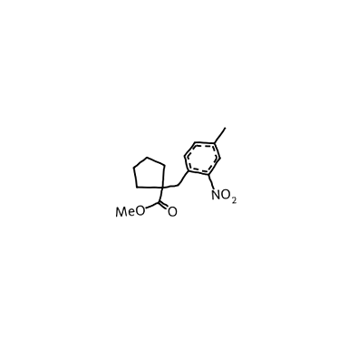 COC(=O)C1(Cc2ccc(C)cc2[N+](=O)[O-])CCCC1